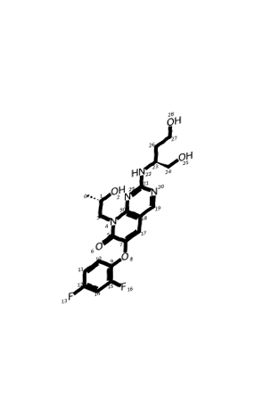 C[C@H](O)Cn1c(=O)c(Oc2ccc(F)cc2F)cc2cnc(N[C@H](CO)CCO)nc21